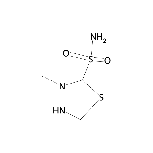 CN1NCSC1S(N)(=O)=O